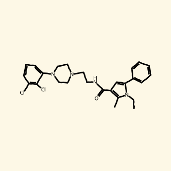 CCn1c(-c2ccccc2)cc(C(=O)NCCN2CCN(c3cccc(Cl)c3Cl)CC2)c1C